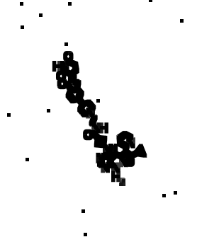 Nc1ncnc2c1c(-c1noc(C3CC3)c1-c1ccccn1)nn2C1CC(C(=O)NCCN2CCC(c3ccc4c(c3)CN([C@@H]3CCC(=O)NC3=O)C4=O)CC2)C1